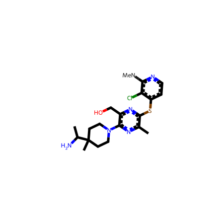 CNc1nccc(Sc2nc(CO)c(N3CCC(C)(C(C)N)CC3)nc2C)c1Cl